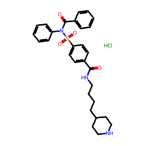 Cl.O=C(NCCCCC1CCNCC1)c1ccc(S(=O)(=O)N(C(=O)c2ccccc2)c2ccccc2)cc1